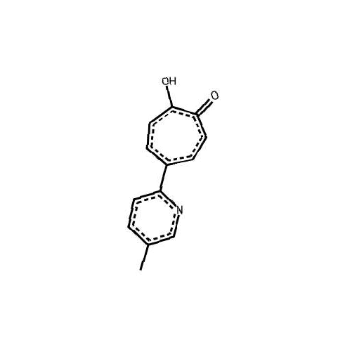 Cc1ccc(-c2ccc(O)c(=O)cc2)nc1